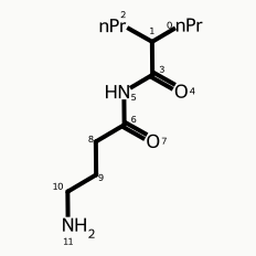 CCCC(CCC)C(=O)NC(=O)CCCN